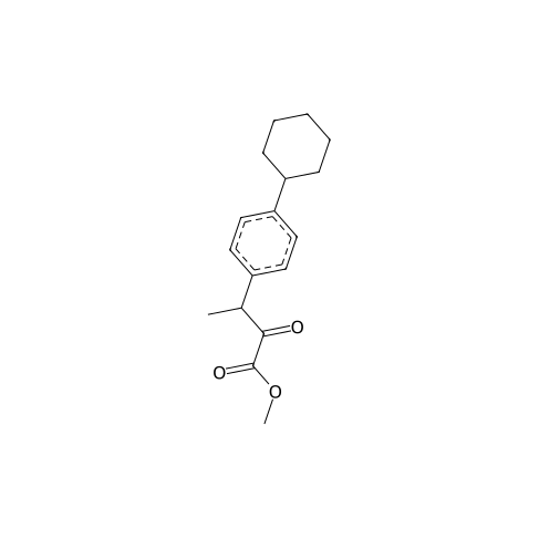 COC(=O)C(=O)C(C)c1ccc(C2CCCCC2)cc1